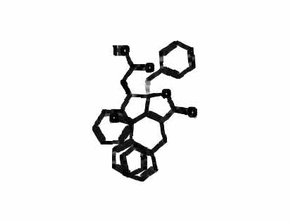 O=C(O)C[C@H](c1ccccc1)[C@@]1(Cc2ccccc2)OC(=O)C(Cc2ccccc2)=C1C(=O)c1ccccc1